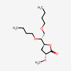 CCCCOC[C@@H](OCCCC)[C@@H]1C[C@@H](OC)C(=O)O1